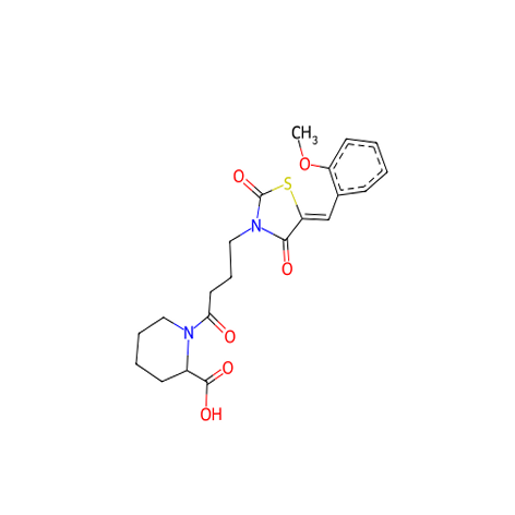 COc1ccccc1/C=C1\SC(=O)N(CCCC(=O)N2CCCCC2C(=O)O)C1=O